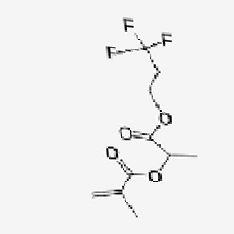 C=C(C)C(=O)OC(C)C(=O)OCCC(F)(F)F